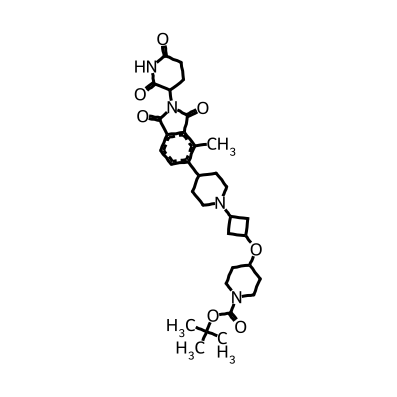 Cc1c(C2CCN(C3CC(OC4CCN(C(=O)OC(C)(C)C)CC4)C3)CC2)ccc2c1C(=O)N(C1CCC(=O)NC1=O)C2=O